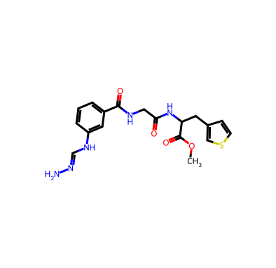 COC(=O)C(Cc1ccsc1)NC(=O)CNC(=O)c1cccc(NC=NN)c1